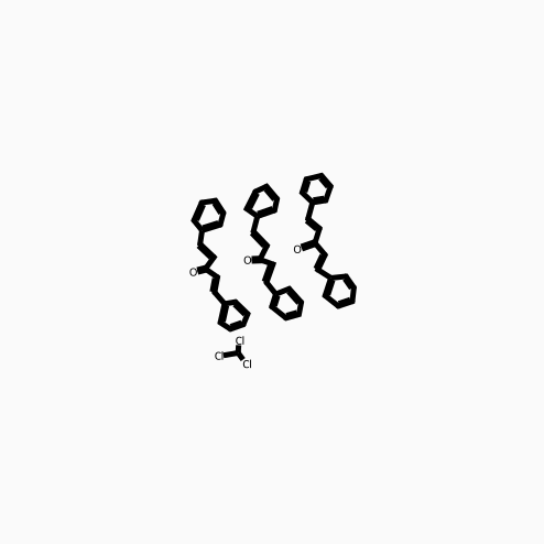 ClC(Cl)Cl.O=C(C=Cc1ccccc1)C=Cc1ccccc1.O=C(C=Cc1ccccc1)C=Cc1ccccc1.O=C(C=Cc1ccccc1)C=Cc1ccccc1